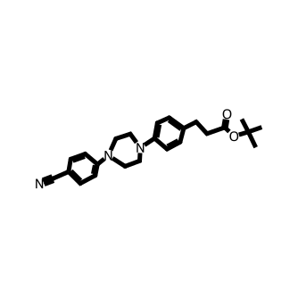 CC(C)(C)OC(=O)CCc1ccc(N2CCN(c3ccc(C#N)cc3)CC2)cc1